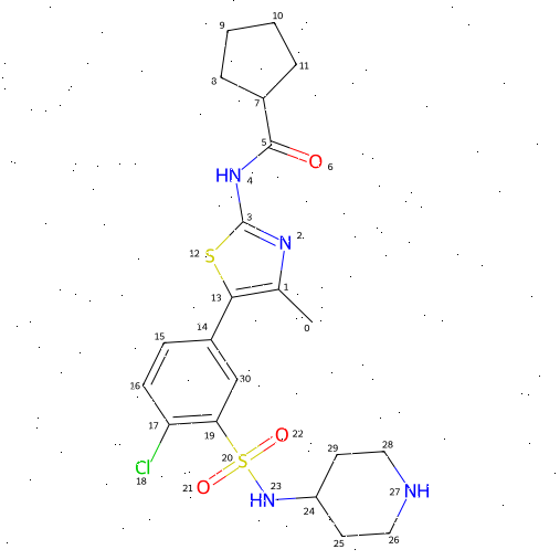 Cc1nc(NC(=O)C2CCCC2)sc1-c1ccc(Cl)c(S(=O)(=O)NC2CCNCC2)c1